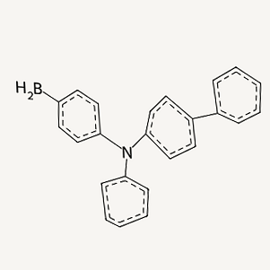 Bc1ccc(N(c2ccccc2)c2ccc(-c3ccccc3)cc2)cc1